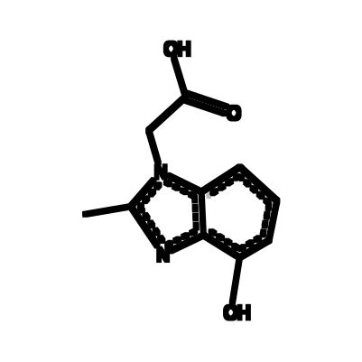 Cc1nc2c(O)cccc2n1CC(=O)O